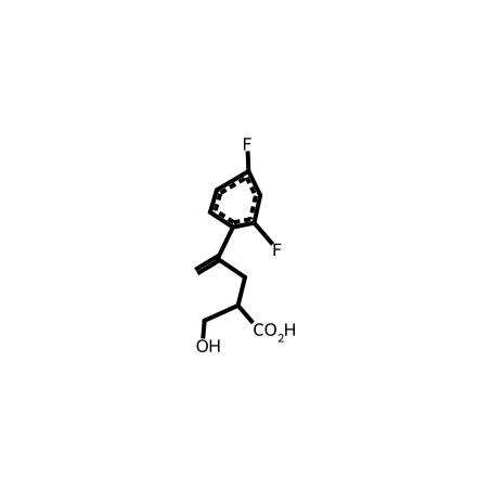 C=C(CC(CO)C(=O)O)c1ccc(F)cc1F